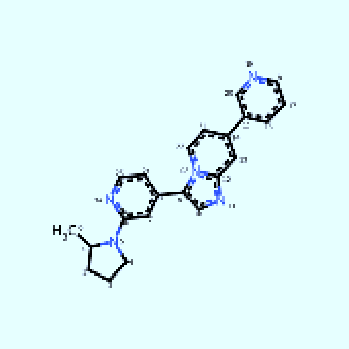 CC1CCCN1c1cc(-c2cnc3cc(-c4cccnc4)ccn23)ccn1